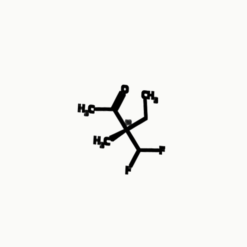 CC[C@@](C)(C(C)=O)C(F)F